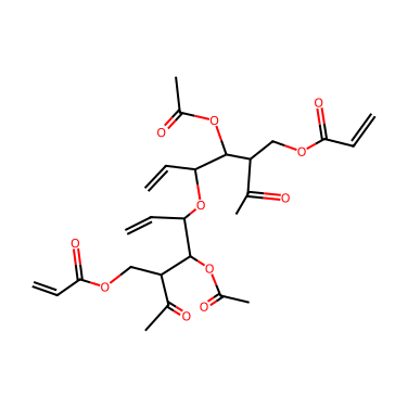 C=CC(=O)OCC(C(C)=O)C(OC(C)=O)C(C=C)OC(C=C)C(OC(C)=O)C(COC(=O)C=C)C(C)=O